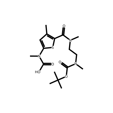 Cc1cc(N(C)C(=O)O)sc1C(=O)N(C)CCN(C)C(=O)OC(C)(C)C